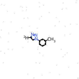 [2H]c1cn(-c2cccc(C)c2)nn1